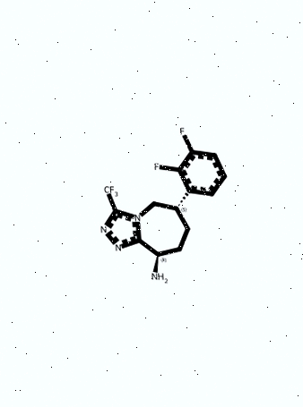 N[C@@H]1CC[C@@H](c2cccc(F)c2F)Cn2c1nnc2C(F)(F)F